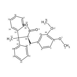 COc1ccc(C[C@H](C(=O)O)C(C)(c2ccccc2)c2ccccc2)cc1OC